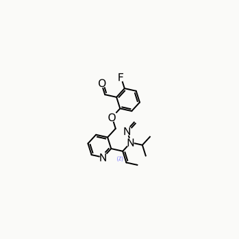 C=NN(/C(=C\C)c1ncccc1COc1cccc(F)c1C=O)C(C)C